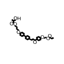 C=CC(=O)OCCOc1ccc(C(=O)/C=C/c2ccc(-c3ccc(OCCCCOC(=O)C(=C)CO)cc3)cc2)cc1